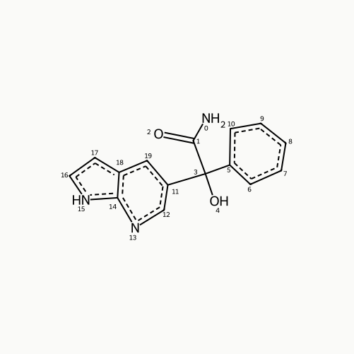 NC(=O)C(O)(c1ccccc1)c1cnc2[nH]ccc2c1